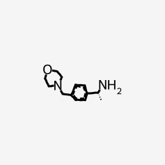 C[C@@H](N)c1ccc(CN2CCOCC2)cc1